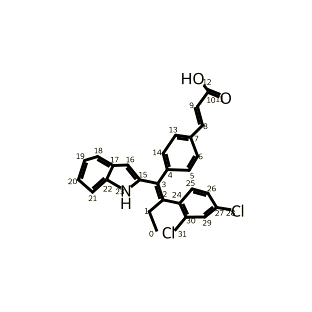 CC/C(=C(/c1ccc(/C=C/C(=O)O)cc1)c1cc2ccccc2[nH]1)c1ccc(Cl)cc1Cl